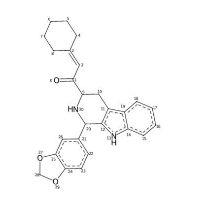 O=C(C=C1CCCCC1)C1Cc2c([nH]c3ccccc23)C(c2ccc3c(c2)OCO3)N1